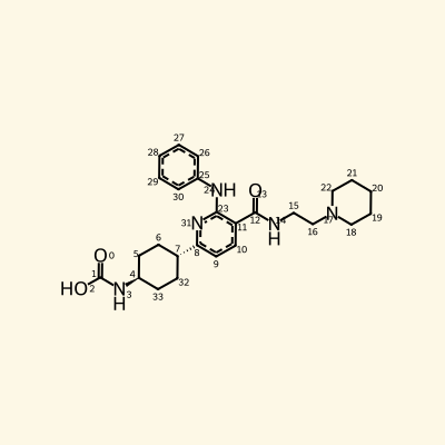 O=C(O)N[C@H]1CC[C@H](c2ccc(C(=O)NCCN3CCCCC3)c(Nc3ccccc3)n2)CC1